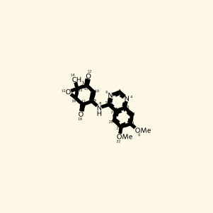 COc1cc2ncnc(NC3=CC(=O)C4(C)OC4C3=O)c2cc1OC